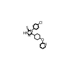 S=c1[nH]nc(C2CCC(Oc3ccccn3)CC2)n1-c1ccc(Cl)cc1